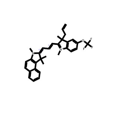 C=CCC1(C)C(/C=C/C=C2/N(C)c3ccc4ccccc4c3C2(C)C)=[N+](C)c2ccc(OC(F)(F)F)cc21